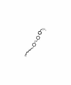 CCc1ccc([C@H]2CC[C@H](CO[C@H]3CC[C@H](CCC=CC=CC#N)CC3)CC2)cc1